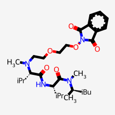 CCC(C)[C@@H](C)N(C)C(=O)[C@@H](NC(=O)[C@H](C(C)C)N(C)CCOCCON1C(=O)c2ccccc2C1=O)C(C)C